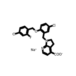 O=C([O-])c1ccnc2c1CCN2Cc1cc(Cl)ccc1OCc1ccc(Cl)cc1F.[Na+]